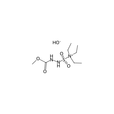 CC[N+](CC)(CC)S(=O)(=O)NNC(=O)OC.[OH-]